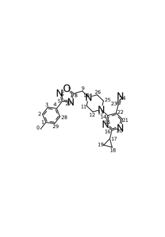 Cc1ccc(-c2noc(CN3CCN(c4nc(C5CC5)ncc4C#N)CC3)n2)cc1